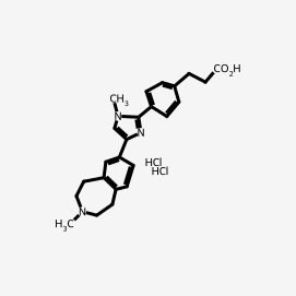 CN1CCc2ccc(-c3cn(C)c(-c4ccc(CCC(=O)O)cc4)n3)cc2CC1.Cl.Cl